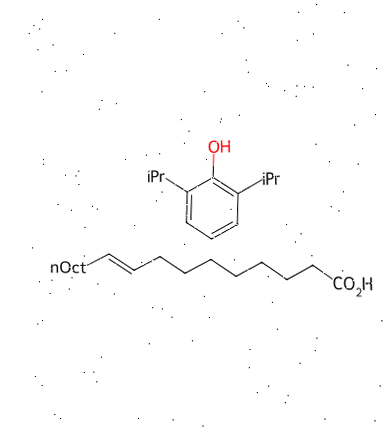 CC(C)c1cccc(C(C)C)c1O.CCCCCCCCC=CCCCCCCCC(=O)O